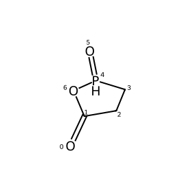 O=C1CC[PH](=O)O1